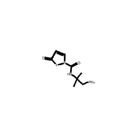 CC(C)(C)CC(C)(C)NC(=O)n1ccc(=O)s1